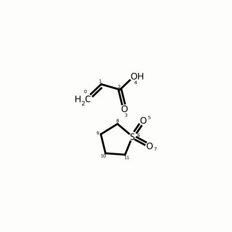 C=CC(=O)O.O=S1(=O)CCCC1